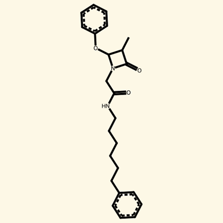 CC1C(=O)N(CC(=O)NCCCCCCc2ccccc2)C1Oc1ccccc1